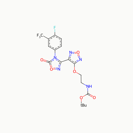 CC(C)(C)OC(=O)NCCOc1nonc1-c1noc(=O)n1-c1ccc(F)c(C(F)(F)F)c1